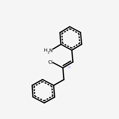 Nc1ccccc1/C=C(\Cl)Cc1ccccc1